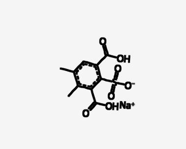 Cc1cc(C(=O)O)c(S(=O)(=O)[O-])c(C(=O)O)c1C.[Na+]